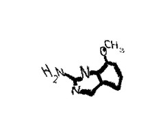 COc1cccc2cnc(N)nc12